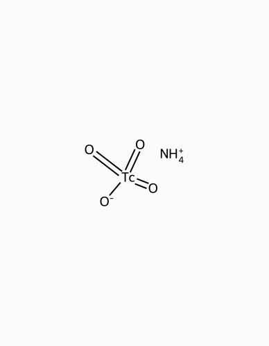 [NH4+].[O]=[Tc](=[O])(=[O])[O-]